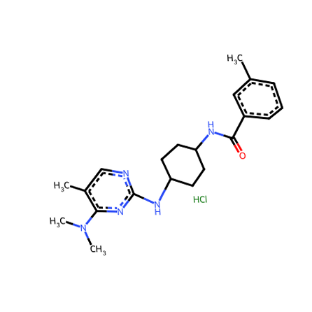 Cc1cccc(C(=O)NC2CCC(Nc3ncc(C)c(N(C)C)n3)CC2)c1.Cl